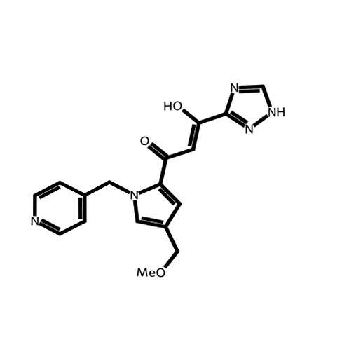 COCc1cc(C(=O)C=C(O)c2nc[nH]n2)n(Cc2ccncc2)c1